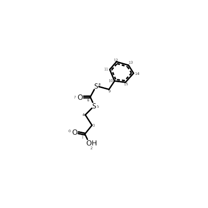 O=C(O)CCSC(=O)SCc1ccccc1